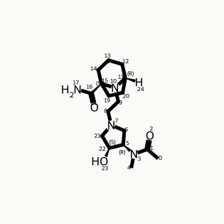 CC(=O)N(C)[C@@H]1CN(CCN2[C@@H]3C[CH]C[C@@]2(C(N)=O)CC3)C[C@@H]1O